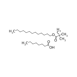 CCCCCCCC(=O)O.CCCCCCCCCCCCCOC(=O)C(C)(C)C